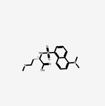 CSCC[C@H](NS(=O)(=O)c1cccc2c(N(C)C)cccc12)C(=O)O